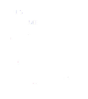 COc1c(C(=O)NN)cc(C(C)C)c(OC)c1OC